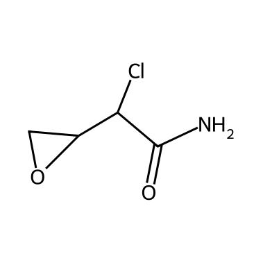 NC(=O)C(Cl)C1CO1